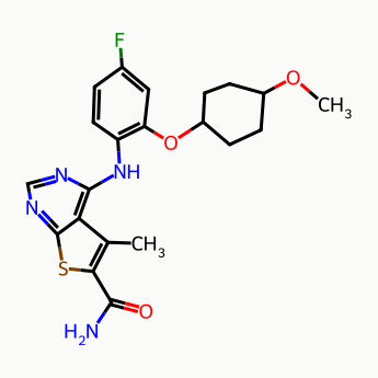 COC1CCC(Oc2cc(F)ccc2Nc2ncnc3sc(C(N)=O)c(C)c23)CC1